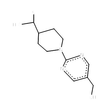 CCc1cnc(N2CCC(C(C)C)CC2)nc1